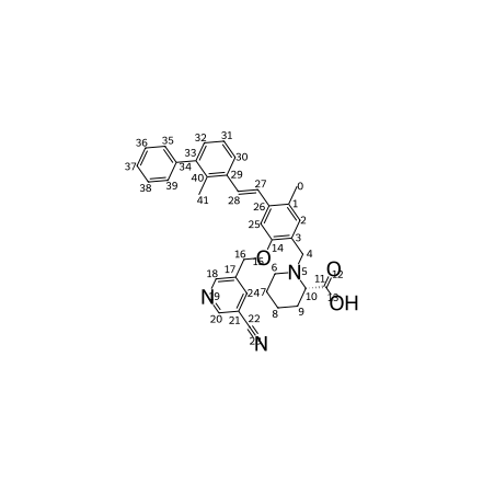 Cc1cc(CN2CCCC[C@H]2C(=O)O)c(OCc2cncc(C#N)c2)cc1/C=C/c1cccc(-c2ccccc2)c1C